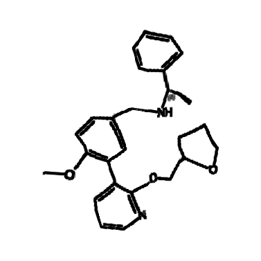 COc1ccc(CN[C@H](C)c2ccccc2)cc1-c1cccnc1OCC1CCCO1